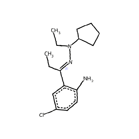 CC/C(=N\N(CC)C1CCCC1)c1cc(Cl)ccc1N